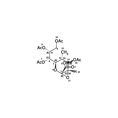 COC(=O)[C@@]12O[C@@H]([C@H](OC(C)=O)[C@@H](COC(C)=O)OC(C)=O)[C@H](C)[C@@H](OC(C)=O)[C@@H]1O2